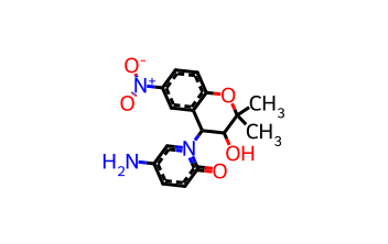 CC1(C)Oc2ccc([N+](=O)[O-])cc2C(n2cc(N)ccc2=O)C1O